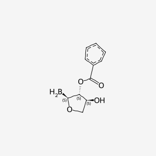 B[C@@H]1OC[C@H](O)[C@H]1OC(=O)c1ccccc1